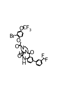 O=C1Nc2ccc(-c3cccc(C(F)F)c3)cc2C(=O)N2CCN(C(=O)COc3ccc(OC(F)(F)F)cc3Br)C[C@@H]12